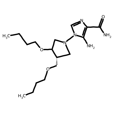 CCCCOC[C@H]1CN(n2cnc(C(N)=O)c2N)CC1OCCCC